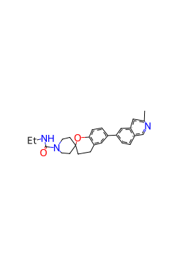 CCNC(=O)N1CCC2(CCc3cc(-c4ccc5cnc(C)cc5c4)ccc3O2)CC1